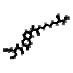 CC(C)C[C@H](NC(=O)[C@@H]1Cc2ccc(NC(=O)CCCCCCC(=O)NO)cc2CN1)C(=O)O